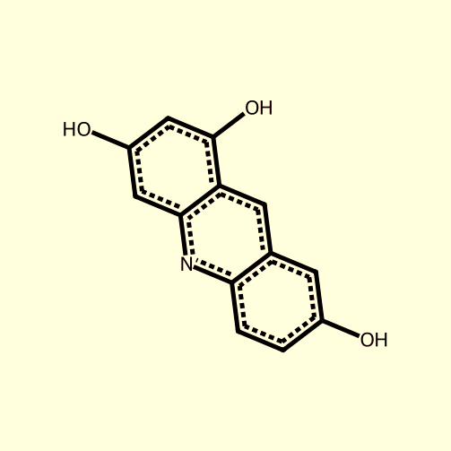 Oc1ccc2nc3cc(O)cc(O)c3cc2c1